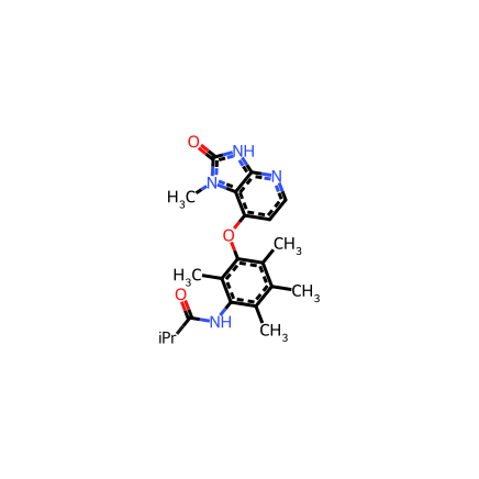 Cc1c(C)c(NC(=O)C(C)C)c(C)c(Oc2ccnc3[nH]c(=O)n(C)c23)c1C